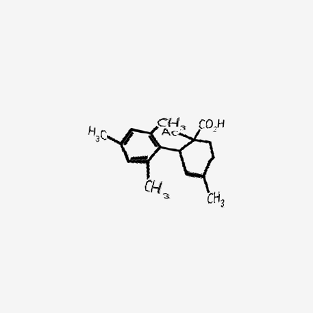 CC(=O)C1(C(=O)O)CCC(C)CC1c1c(C)cc(C)cc1C